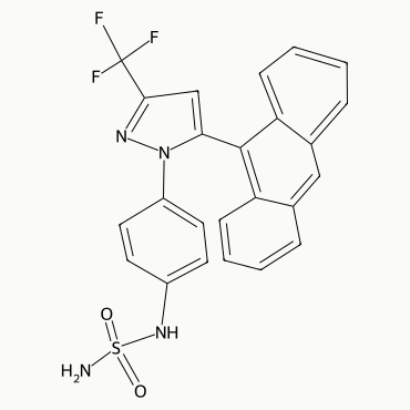 NS(=O)(=O)Nc1ccc(-n2nc(C(F)(F)F)cc2-c2c3ccccc3cc3ccccc23)cc1